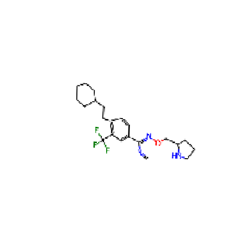 C=N/C(=N\OCC1CCCN1)c1ccc(CCC2CCCCC2)c(C(F)(F)F)c1